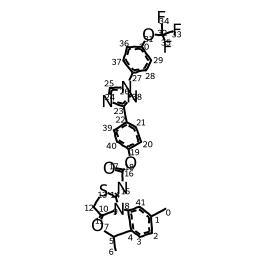 Cc1ccc(C(C)C)c(N2C(=O)CS/C2=N\C(=O)Oc2ccc(-c3ncn(-c4ccc(OC(F)(F)F)cc4)n3)cc2)c1